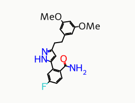 COc1cc(CCc2cc(-c3cc(F)ccc3C(N)=O)[nH]n2)cc(OC)c1